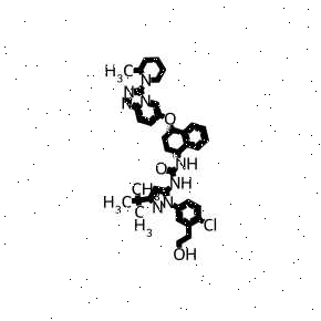 CC1CCCCN1c1nnc2ccc(O[C@@H]3CC[C@H](NC(=O)Nc4cc(C(C)(C)C)nn4-c4ccc(Cl)c(CCO)c4)c4ccccc43)cn12